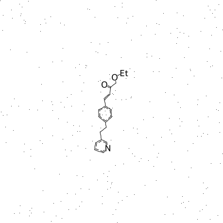 CCOCC(=O)C=Cc1ccc(CCc2cccnc2)cc1